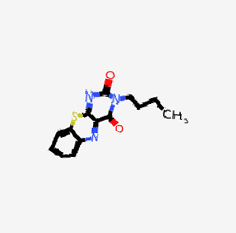 CCCCn1c(=O)nc2sc3ccccc3nc-2c1=O